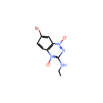 CCNc1n[n+]([O-])c2cc(Br)ccc2[n+]1[O-]